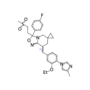 CCOc1cc(/C=C2\CC3(CC3)CN3C2=NOC3(CCS(C)(=O)=O)c2ccc(F)cc2)ccc1-n1cnc(C)c1